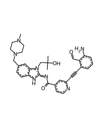 CN1CCN(Cc2ccc3[nH]/c(=N\C(=O)c4ccnc(C#Cc5cccc(N)c5C=O)c4)n(CC(C)(C)O)c3c2)CC1